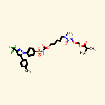 Cc1ccc(-c2cc(C(F)(F)F)nn2-c2ccc(S(=O)(=O)NC(=O)OCCCCCN(C)/[N+]([O-])=N/OCOC(=O)C(C)C)cc2)cc1